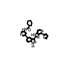 O=C(Nc1cncc(-c2ccc3[nH]nc(-c4nc5c(-c6cccs6)nccc5[nH]4)c3c2)c1)C1CCCCC1